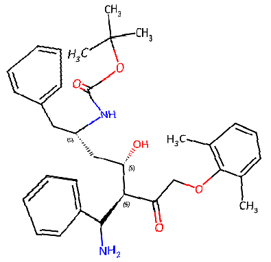 Cc1cccc(C)c1OCC(=O)[C@@H](C(N)c1ccccc1)[C@@H](O)C[C@H](Cc1ccccc1)NC(=O)OC(C)(C)C